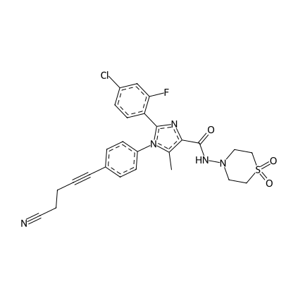 Cc1c(C(=O)NN2CCS(=O)(=O)CC2)nc(-c2ccc(Cl)cc2F)n1-c1ccc(C#CCCC#N)cc1